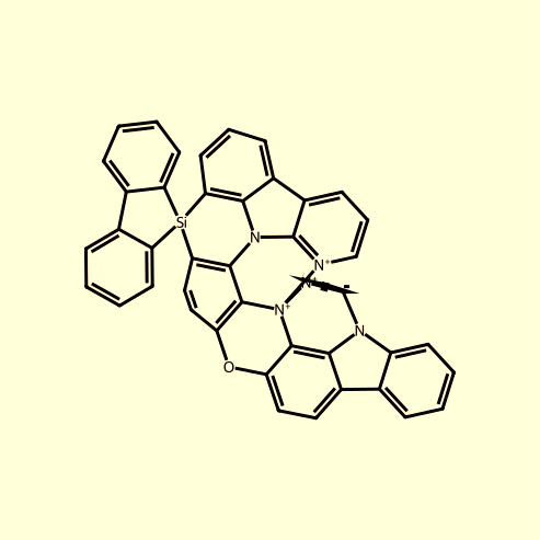 c1ccc2c(c1)-c1ccccc1[Si]21c2ccc3c4c2-n2c5c1cccc5c1ccc[n+](c12)[N+]41c2c(ccc4c5ccccc5n(c24)-c2cccc[n+]21)O3